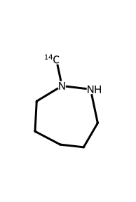 [14CH3]N1CCCCCN1